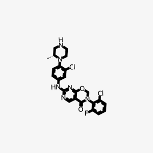 C[C@@H]1CNCCN1c1ccc(Nc2ncc3c(n2)OCN(c2c(F)cccc2Cl)C3=O)cc1Cl